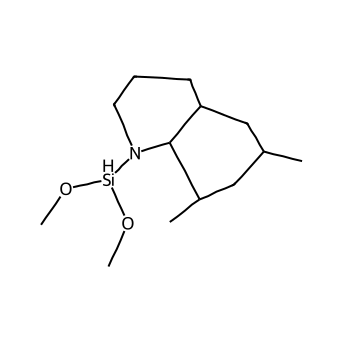 CO[SiH](OC)N1CCCC2CC(C)CC(C)C21